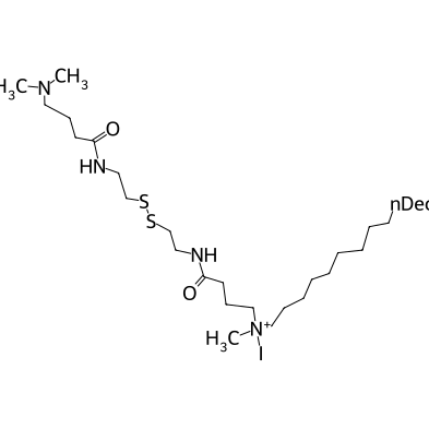 CCCCCCCCCCCCCCCCCCC[N+](C)(I)CCCC(=O)NCCSSCCNC(=O)CCCN(C)C